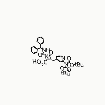 CC(C)(C)OC(=O)N(C(=O)OC(C)(C)C)c1cc(C[C@H]2C(=O)N(C(=O)NC(c3ccccc3)c3ccccc3)[C@@H]2C(=O)O)ccn1